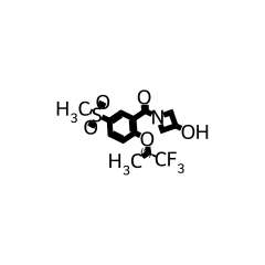 C[C@H](Oc1ccc(S(C)(=O)=O)cc1C(=O)N1CC(O)C1)C(F)(F)F